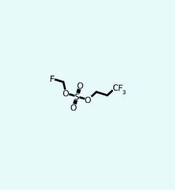 O=S(=O)(OCF)OCCC(F)(F)F